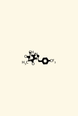 Cn1c(=O)c2c(ncn2Cc2ccc(C(F)(F)F)cc2)n(C)c1=O